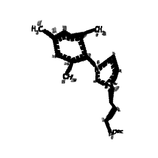 CCCCCCCCCCCC[n+]1ccn(-c2c(C)cc(C)cc2C)c1